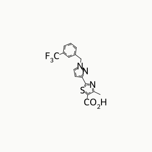 Cc1nc(-c2ccn(Cc3cccc(C(F)(F)F)c3)n2)sc1C(=O)O